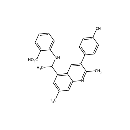 Cc1cc(C(C)Nc2ccccc2C(=O)O)c2cc(-c3ccc(C#N)cc3)c(C)nc2c1